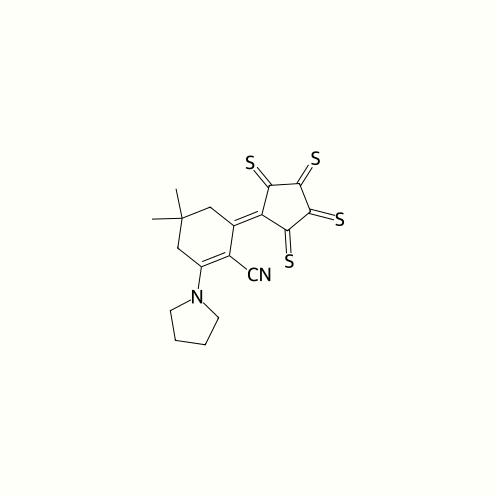 CC1(C)CC(=C2C(=S)C(=S)C(=S)C2=S)C(C#N)=C(N2CCCC2)C1